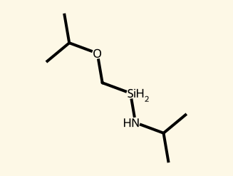 CC(C)N[SiH2]COC(C)C